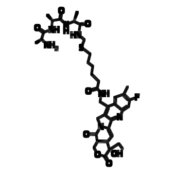 CC[C@@]1(O)C(=O)OCc2c1cc1n(c2=O)Cc2c-1nc1cc(F)c(C)cc1c2CNC(=O)CCCCCSCNC(=O)[C@H](C)NC(=O)[C@H](C)NC(=O)[C@H](C)N